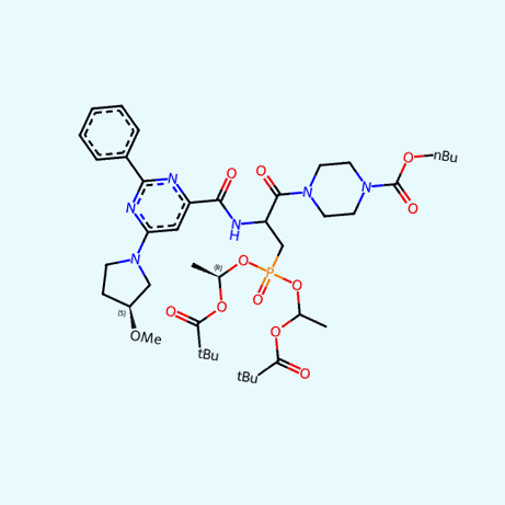 CCCCOC(=O)N1CCN(C(=O)C(CP(=O)(OC(C)OC(=O)C(C)(C)C)O[C@H](C)OC(=O)C(C)(C)C)NC(=O)c2cc(N3CC[C@H](OC)C3)nc(-c3ccccc3)n2)CC1